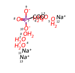 O.O.O.O.O.O.O=C([O-])P(=O)([O-])[O-].[Na+].[Na+].[Na+]